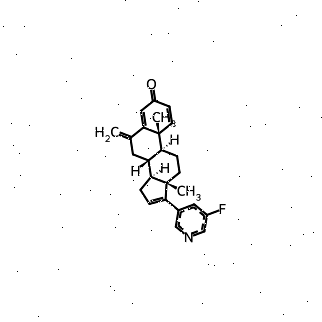 C=C1C[C@@H]2[C@H](CC[C@]3(C)C(c4cncc(F)c4)=CC[C@@H]23)[C@@]2(C)C=CC(=O)C=C12